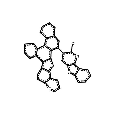 Clc1nc2c(nc1-c1cc3ccccc3c3c4ccccc4c4c5ccc6ccccc6c5sc4c13)sc1ccccc12